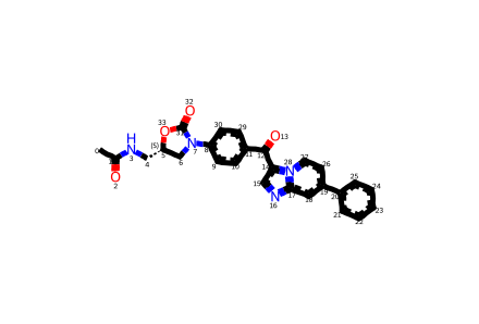 CC(=O)NC[C@H]1CN(c2ccc(C(=O)c3cnc4cc(-c5ccccc5)ccn34)cc2)C(=O)O1